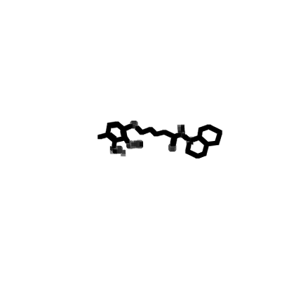 Cc1ccc(OCCCCC(=O)NN2CCCC3CCCCC32)c(C=O)c1[N+](=O)[O-]